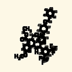 CCOC(=O)N1c2ccc(OC)nc2[C@@H](NC(c2cc(C(F)(F)F)cc(C(F)(F)F)c2)c2ncc(N3CCC(OCc4ccccc4)CC3)cn2)C[C@H]1CC